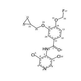 O=C(Nc1c(Cl)cncc1Cl)c1ccc(OCF)c(OCC2CC2)c1